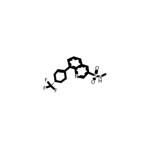 CNS(=O)(=O)c1cnc2c(C3=CC[C@@H](C(F)(F)F)CC3)cccc2c1